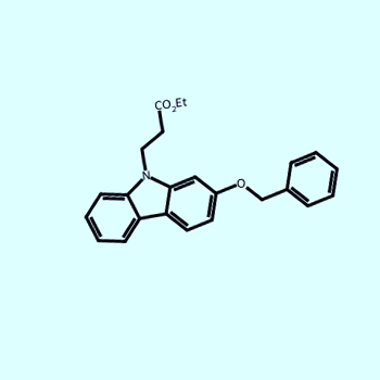 CCOC(=O)CCn1c2ccccc2c2ccc(OCc3ccccc3)cc21